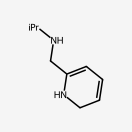 CC(C)NCC1=CC=CCN1